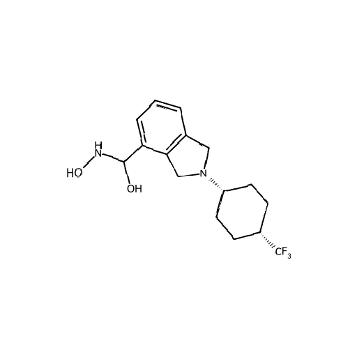 ONC(O)c1cccc2c1CN([C@H]1CC[C@@H](C(F)(F)F)CC1)C2